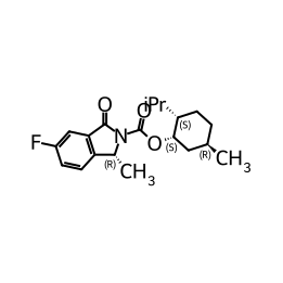 CC(C)[C@@H]1CC[C@@H](C)C[C@@H]1OC(=O)N1C(=O)c2cc(F)ccc2[C@H]1C